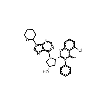 O=c1c2c(Cl)cccc2nc([C@@H]2C[C@H](O)CN2c2ncnc3c2ncn3C2CCCCO2)n1-c1ccccc1